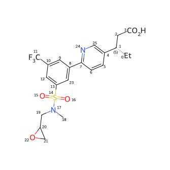 CC[C@@H](CC(=O)O)c1ccc(-c2cc(C(F)(F)F)cc(S(=O)(=O)N(C)CC3CO3)c2)nc1